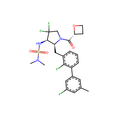 Cc1cc(F)cc(-c2cccc(C[C@H]3[C@@H](NS(=O)(=O)N(C)C)C(F)(F)CN3C(=O)[C@H]3CCO3)c2F)c1